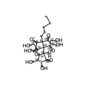 CCCCCC(C(=O)CO)(C(=O)CO)C(C(=O)CO)(C(=O)CO)C(O)(C(=O)CO)C(=O)CO